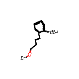 CCOCCCCc1ccccc1C(C)(C)C